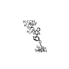 [2H]C([2H])([2H])N(CCOc1ccnc(-c2nc3c(c(N(C)CC(=O)NC(C)(C)C)n2)CCC3)c1)C([2H])([2H])[2H]